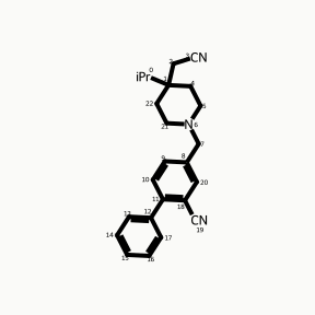 CC(C)C1(CC#N)CCN(Cc2ccc(-c3ccccc3)c(C#N)c2)CC1